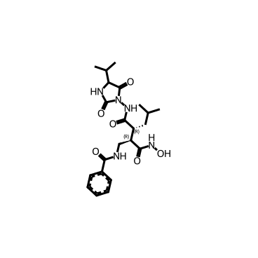 CC(C)C[C@@H](C(=O)NN1C(=O)NC(C(C)C)C1=O)[C@H](CNC(=O)c1ccccc1)C(=O)NO